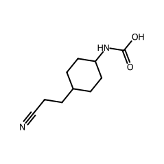 N#CCCC1CCC(NC(=O)O)CC1